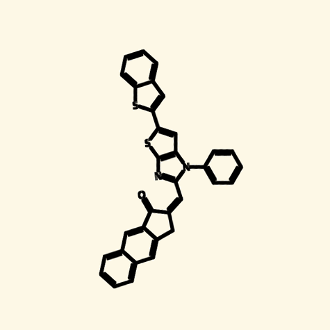 O=C1/C(=C\c2nc3sc(-c4cc5ccccc5s4)cc3n2-c2ccccc2)Cc2cc3ccccc3cc21